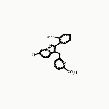 COc1ccccc1-c1nn2cc(Cl)ccc2c1Cc1cccc(C(=O)O)n1